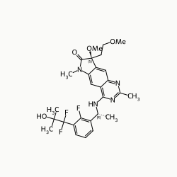 COCC[C@@]1(OC)C(=O)N(C)c2cc3c(N[C@H](C)c4cccc(C(F)(F)C(C)(C)O)c4F)nc(C)nc3cc21